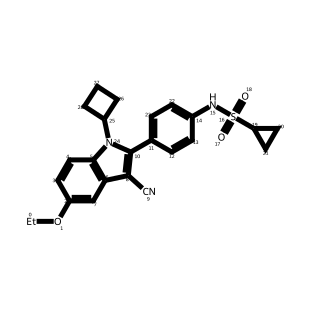 CCOc1ccc2c(c1)c(C#N)c(-c1ccc(NS(=O)(=O)C3CC3)cc1)n2C1CCC1